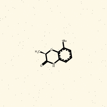 C[C@H]1Oc2c(cccc2C(C)(C)C)NC1=O